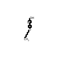 CCCCCCCCOc1ccc(-c2ccc(CO)cn2)cc1